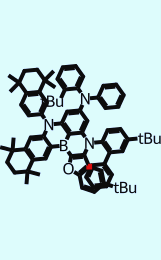 CC(C)(C)c1ccc(N2c3cc(N(c4ccccc4)c4ccccc4C(C)(C)C)cc4c3B(c3cc5c(cc3N4c3ccc4c(c3)C(C)(C)CCC4(C)C)C(C)(C)CCC5(C)C)c3oc4ccc(C(C)(C)C)cc4c32)c(-c2ccccc2)c1